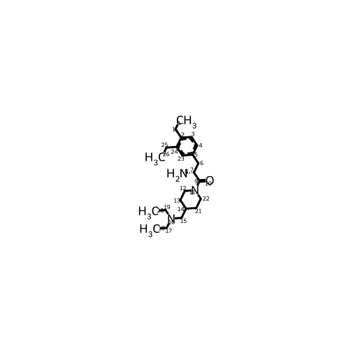 CCc1ccc(C[C@@H](N)C(=O)N2CCC(CN(CC)CC)CC2)cc1CC